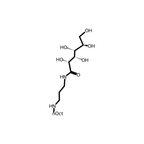 CCCCCCCCNCCCNC(=O)[C@H](O)[C@@H](O)[C@H](O)[C@H](O)CO